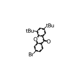 CC(C)(C)c1cc(C(C)(C)C)c2oc3cc(Br)ccc3c(=O)c2c1